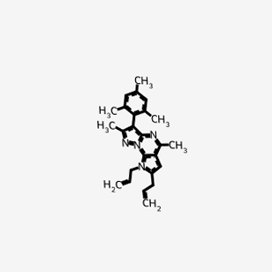 C=CCc1cc2c(C)nc3c(-c4c(C)cc(C)cc4C)c(C)nn3c2n1CC=C